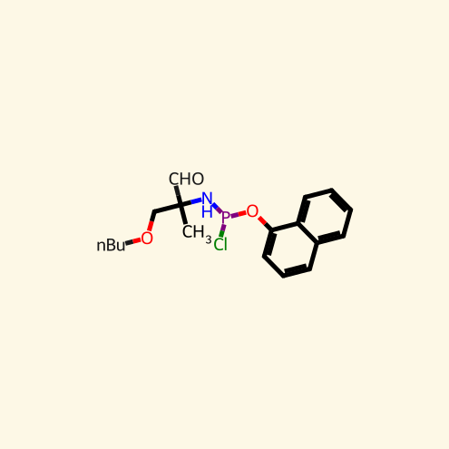 CCCCOCC(C)(C=O)NP(Cl)Oc1cccc2ccccc12